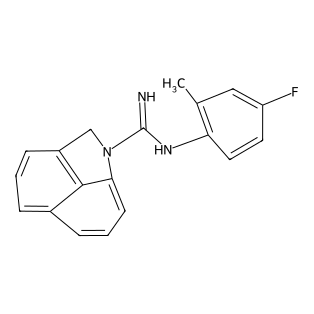 Cc1cc(F)ccc1NC(=N)N1Cc2cccc3cccc1c23